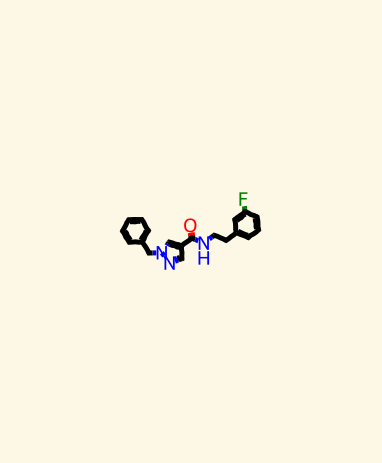 O=C(NCCc1cccc(F)c1)c1cnn(Cc2ccccc2)c1